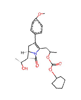 COc1ccc(C2=C(CC(C)OC(=O)OC3CCCCC3)N3C(=O)[C@H]([C@@H](C)O)[C@H]3C2)cc1